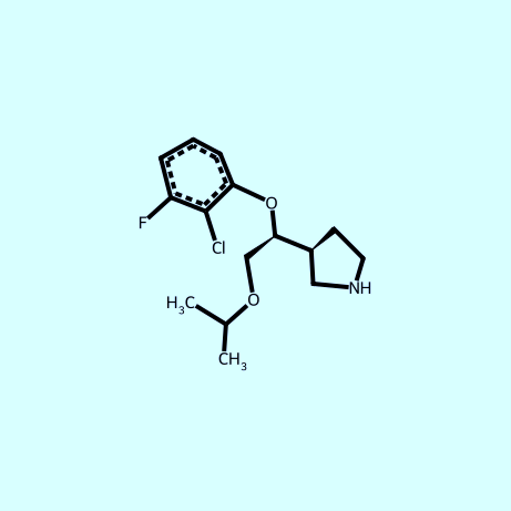 CC(C)OC[C@@H](Oc1cccc(F)c1Cl)[C@H]1CCNC1